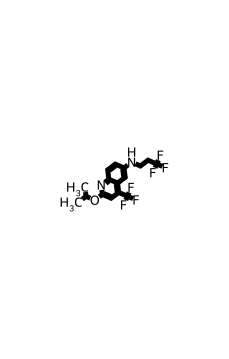 CC(C)Oc1cc(C(F)(F)F)c2cc(NCCC(F)(F)F)ccc2n1